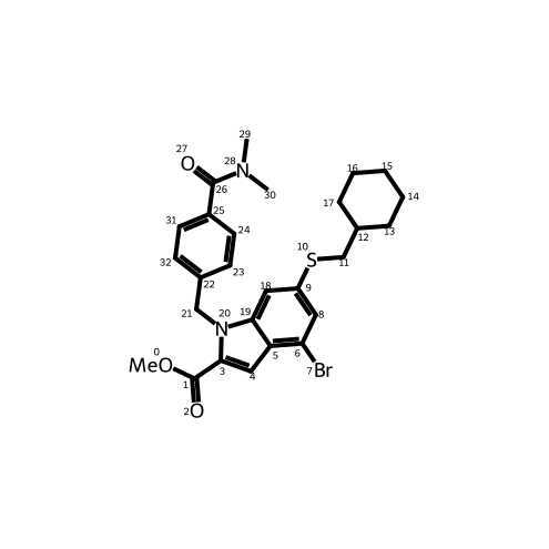 COC(=O)c1cc2c(Br)cc(SCC3CCCCC3)cc2n1Cc1ccc(C(=O)N(C)C)cc1